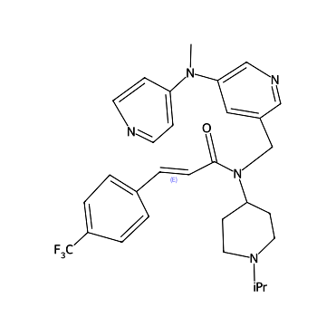 CC(C)N1CCC(N(Cc2cncc(N(C)c3ccncc3)c2)C(=O)/C=C/c2ccc(C(F)(F)F)cc2)CC1